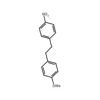 COc1ccc(C[CH]c2ccc([N+](=O)[O-])cc2)cc1